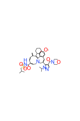 C=C1/C=C\C(C(=O)NS(=O)(=O)CC(C)C)=C/CN2CC(c3c(C(=O)N4CCOCC4)cnn3C(C)C)=Cc3cc(OC)ccc3/C2=C/1C1CCCCC1